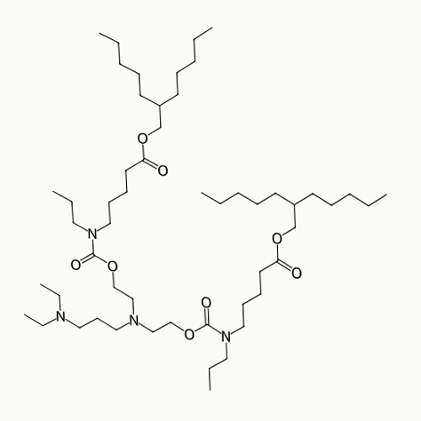 CCCCCC(CCCCC)COC(=O)CCCCN(CCC)C(=O)OCCN(CCCN(CC)CC)CCOC(=O)N(CCC)CCCCC(=O)OCC(CCCCC)CCCCC